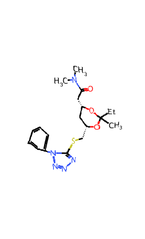 CCC1(C)O[C@H](CSc2nnnn2-c2ccccc2)C[C@H](CC(=O)N(C)C)O1